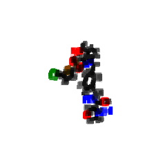 CC(O)c1cccc2c1c(CS(=O)(=O)c1ccc(Cl)s1)nn2Cc1cccc(CNC(=O)[C@H]2COCCN2)c1